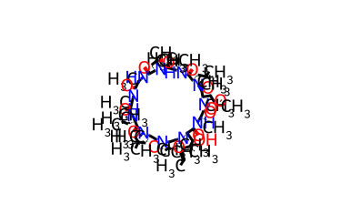 C/C=C/C[C@@H](C)[C@@H](O)[C@H]1C(=O)N[C@@H](CC)C(=O)N(C)C(CC(=O)OC)C(=O)N(C)[C@@H](CC(C)C)C(=O)N[C@@H](C(C)C)C(=O)N(C)[C@@H](CC(C)C)C(=O)N[C@@H](C)C(=O)N[C@H](C)C(=O)N(C)[C@@H](CC(C)C)C(=O)N(C)[C@@H](CC(C)C)C(=O)N(C)[C@@H](C(C)C)C(=O)N1C